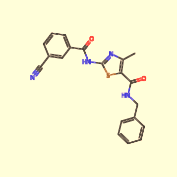 Cc1nc(NC(=O)c2cccc(C#N)c2)sc1C(=O)NCc1ccccc1